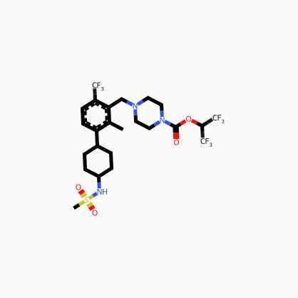 Cc1c(C2CCC(NS(C)(=O)=O)CC2)ccc(C(F)(F)F)c1CN1CCN(C(=O)OC(C(F)(F)F)C(F)(F)F)CC1